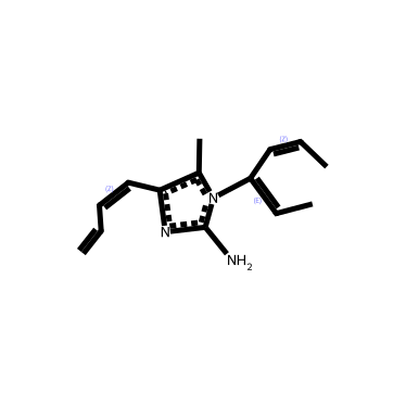 C=C/C=C\c1nc(N)n(C(/C=C\C)=C/C)c1C